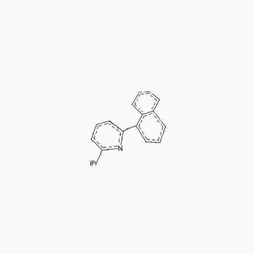 CC(C)c1cccc(-c2cccc3ccccc23)n1